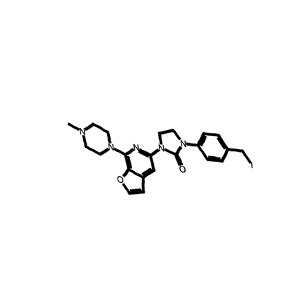 CN1CCN(c2nc(N3CCN(c4ccc(CI)cc4)C3=O)cc3ccoc23)CC1